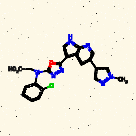 Cn1cc(-c2cnc3[nH]cc(-c4nnc(N(CC(=O)O)c5ccccc5Cl)o4)c3c2)cn1